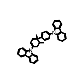 CC1CC(n2c3ccccc3c3ccccc32)=CCC1(C)c1ccc(-n2c3c(c4ccccc42)C=CCC3)cc1